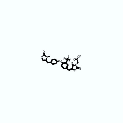 CN1C(=O)OCC1Cc1ccc(Oc2ccc(/C=C3/SC(=S)N(CC(=O)O)C3=O)cc2C(F)(F)F)cc1